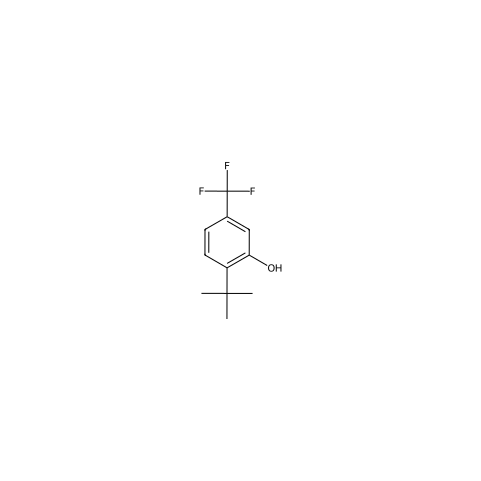 CC(C)(C)c1ccc(C(F)(F)F)cc1O